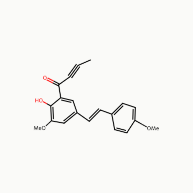 CC#CC(=O)c1cc(/C=C/c2ccc(OC)cc2)cc(OC)c1O